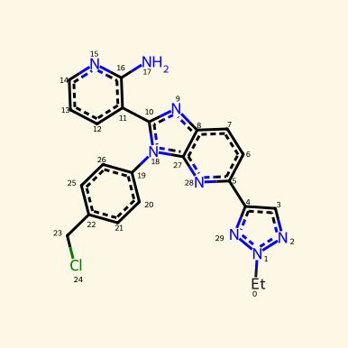 CCn1ncc(-c2ccc3nc(-c4cccnc4N)n(-c4ccc(CCl)cc4)c3n2)n1